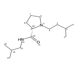 CC(C)CCN1CCC[C@H]1C(=O)NCC(C)C